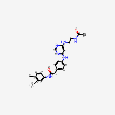 CCC(=O)NCCNc1cc(Nc2ccc(CC(=O)Nc3ccc(C)c(C(F)(F)F)c3)cc2)ncn1